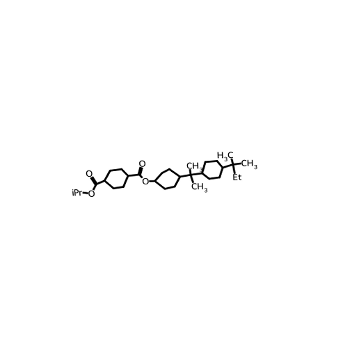 CCC(C)(C)C1CCC(C(C)(C)C2CCC(OC(=O)C3CCC(C(=O)OC(C)C)CC3)CC2)CC1